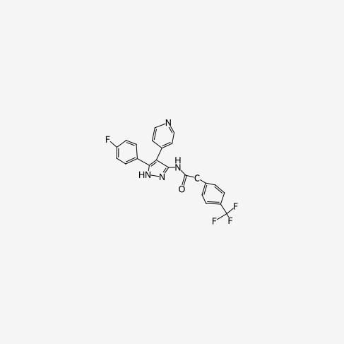 O=C(Cc1ccc(C(F)(F)F)cc1)Nc1n[nH]c(-c2ccc(F)cc2)c1-c1ccncc1